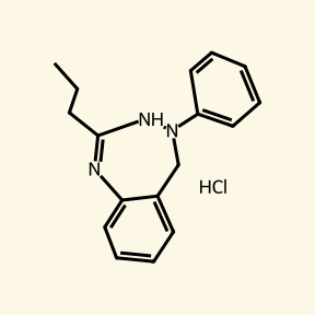 CCCC1=Nc2ccccc2CN(c2ccccc2)N1.Cl